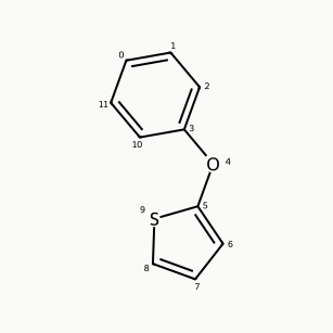 c1ccc(Oc2cccs2)cc1